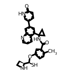 Cc1ccc(O[C@@H](S)[C@@H]2CCN2)cc1C(=O)NC1(c2cc(-c3ccc(=O)[nH]c3)cc3ncccc23)CC1